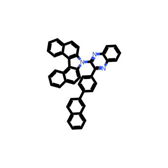 c1ccc2cc(-c3ccc(-c4nc5ccccc5nc4-n4c5ccc6ccccc6c5c5c6ccccc6ccc54)cc3)ccc2c1